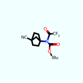 CC(C)(C)OC(=O)N(C(=O)C(F)(F)F)C12CCC(C#N)(CC1)C2